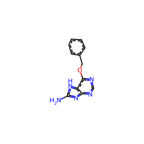 Nc1nc2ncnc(OCc3ccccc3)c2[nH]1